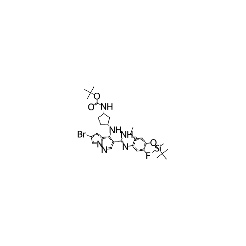 CCc1cc(O[Si](C)(C)C(C)(C)C)c(F)cc1/N=C(\N)c1cnn2cc(Br)cc2c1N[C@@H]1CC[C@H](NC(=O)OC(C)(C)C)C1